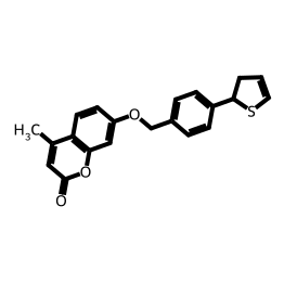 Cc1cc(=O)oc2cc(OCc3ccc(C4CC=CS4)cc3)ccc12